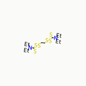 CCN(CC)C(=S)SSCCSSC(=S)N(CC)CC